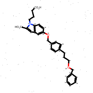 O=C(O)CCCn1c(C(=O)O)cc2cc(OCc3ccc(CCCOCc4ccccc4)cc3)ccc21